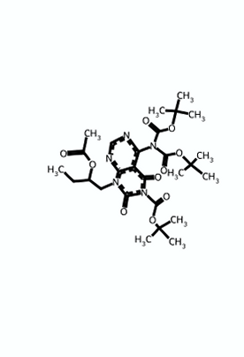 CCC(Cn1c(=O)n(C(=O)OC(C)(C)C)c(=O)c2c(N(C(=O)OC(C)(C)C)C(=O)OC(C)(C)C)ncnc21)OC(C)=O